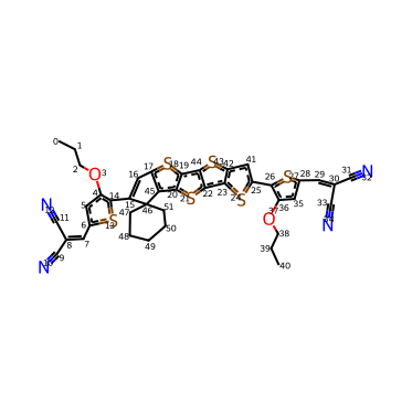 CCCOc1cc(C=C(C#N)C#N)sc1C1=Cc2sc3c(sc4c5sc(-c6sc(C=C(C#N)C#N)cc6OCCC)cc5sc34)c2C12CCCCC2